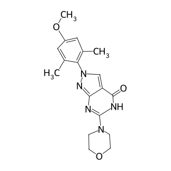 COc1cc(C)c(-n2cc3c(=O)[nH]c(N4CCOCC4)nc3n2)c(C)c1